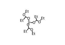 CCOC(CC)[O][Y]([O]C(CC)OCC)[O]C(CC)OCC